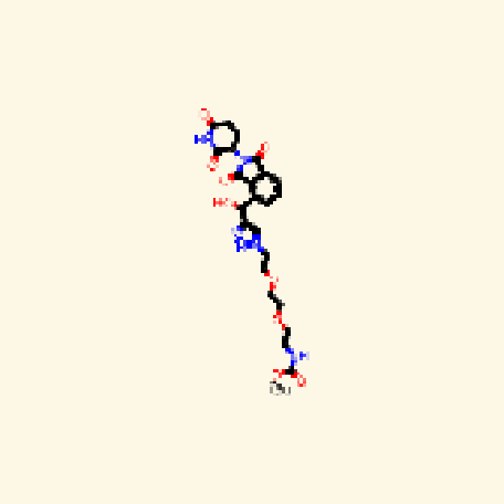 CC(C)(C)OC(=O)NCCOCCOCCn1cc(C(O)c2cccc3c2C(=O)N(C2CCC(=O)NC2=O)C3=O)nn1